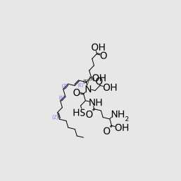 CCCCC/C=C\C/C=C/C=C\C=C\[C@@H]([C@@H](O)CCCC(=O)O)N(CC(=O)O)C(=O)C(CS)NC(=O)CCC(N)C(=O)O